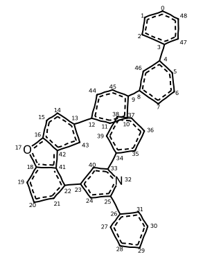 c1ccc(-c2cccc(-c3ccc(-c4ccc5oc6cccc(-c7cc(-c8ccccc8)nc(-c8ccccc8)c7)c6c5c4)cc3)c2)cc1